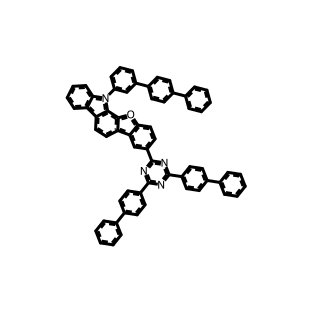 c1ccc(-c2ccc(-c3cccc(-n4c5ccccc5c5ccc6c7cc(-c8nc(-c9ccc(-c%10ccccc%10)cc9)nc(-c9ccc(-c%10ccccc%10)cc9)n8)ccc7oc6c54)c3)cc2)cc1